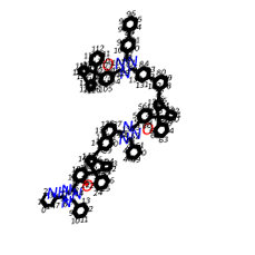 C1=CCNC(c2nc(-c3ccccc3)nc(-c3cccc4c3Oc3ccccc3C43c4ccccc4-c4c(-c5ccc6c(-c7nc(-c8ccccc8)nc(-c8cccc9c8Oc8ccccc8C98c9ccccc9-c9cc(-c%10cccc(-c%11ccc(-c%12nc(-c%13ccc(-c%14ccccc%14)cc%13)nc(-c%13cccc%14c%13Oc%13ccccc%13C%14%13c%14ccccc%14-c%14ccccc%14%13)n%12)cc%11)c%10)ccc98)n7)cccc6c5)cccc43)n2)=C1